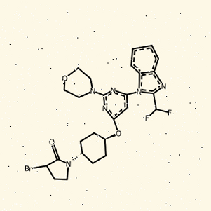 O=C1C(Br)CCN1[C@H]1CC[C@H](Oc2cc(-n3c(C(F)F)nc4ccccc43)nc(N3CCOCC3)n2)CC1